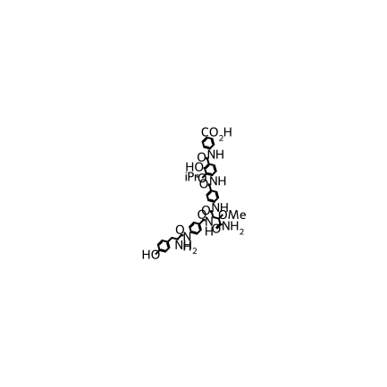 COC(C(N)=O)C(NC(=O)c1ccc(NC(=O)C(N)Cc2ccc(O)cc2)cc1)C(=O)Nc1ccc(C(=O)Nc2ccc(C(=O)Nc3ccc(C(=O)O)cc3)c(O)c2OC(C)C)cc1